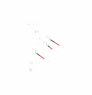 O.O.O.O=[N+]([O-])[O-].O=[N+]([O-])[O-].O=[N+]([O-])[O-].[In+3]